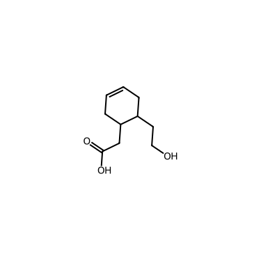 O=C(O)CC1CC=CCC1CCO